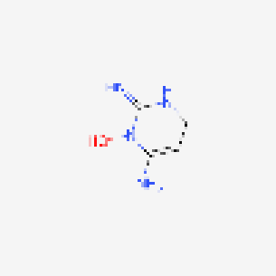 N=C1NCC=C(N)N1O